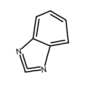 C1=Nc2ccccc2N=1